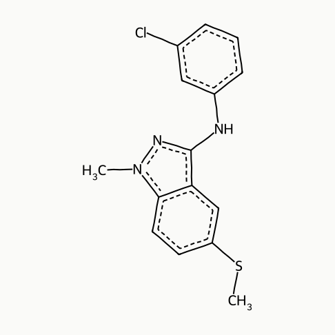 CSc1ccc2c(c1)c(Nc1cccc(Cl)c1)nn2C